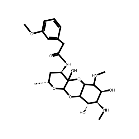 CNC1C2OC3(O)C(OC2[C@@H](O)[C@H](NC)[C@@H]1O)O[C@H](C)C[C@H]3NC(=O)Cc1cccc(OC)c1